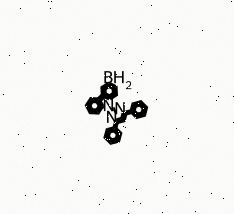 Bc1ccc2c(c1)c1ccccc1n2-c1nc(-c2ccccc2)cc(-c2ccccc2)n1